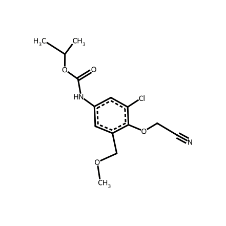 COCc1cc(NC(=O)OC(C)C)cc(Cl)c1OCC#N